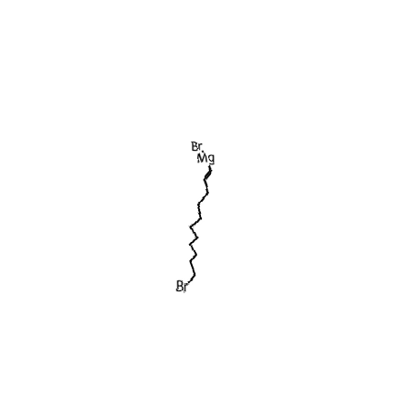 BrCCCCCCCCCC=[CH][Mg][Br]